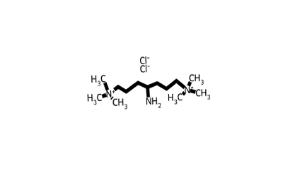 C[N+](C)(C)CCCC(N)CCC[N+](C)(C)C.[Cl-].[Cl-]